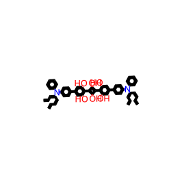 C=C/C=C\C(=C/C=C)N(c1ccccc1)c1ccc(-c2cc(O)c(C3=C(O)C(c4c(O)cc(-c5ccc(N(C(/C=C\C=C)=C/C=C)c6ccccc6)cc5)cc4O)=C3O)c(O)c2)cc1